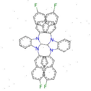 Fc1ccc2cc(N3c4ccccc4N(c4ccc5cc(F)ccc5c4)C3C3N(c4ccc5cc(F)ccc5c4)c4ccccc4N3c3ccc4cc(F)ccc4c3)ccc2c1